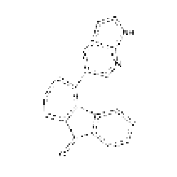 O=C1c2ccccc2-c2c1cccc2-c1cnc2[nH]ccc2c1